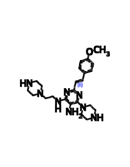 COc1ccc(/C=C/c2nc(NCCN3CCNCC3)c(N)c(N3CCNCC3)n2)cc1